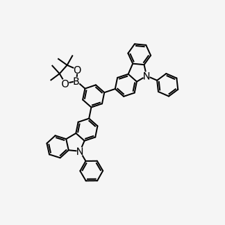 CC1(C)OB(c2cc(-c3ccc4c(c3)c3ccccc3n4-c3ccccc3)cc(-c3ccc4c(c3)c3ccccc3n4-c3ccccc3)c2)OC1(C)C